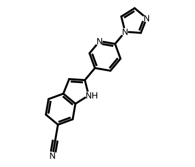 N#Cc1ccc2cc(-c3ccc(-n4ccnc4)nc3)[nH]c2c1